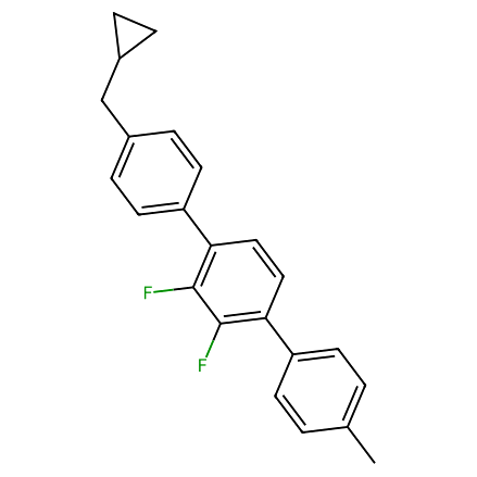 Cc1ccc(-c2ccc(-c3ccc(CC4CC4)cc3)c(F)c2F)cc1